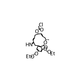 CCOCOc1cc2c(c(OCOCC)c1)C(=O)O[C@H](C)C/C=C/[C@@H](OC(=O)CCl)C/C=C/C(=N)C2